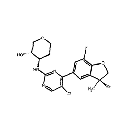 CC[C@]1(C)COc2c(F)cc(-c3nc(N[C@@H]4CCOC[C@H]4O)ncc3Cl)cc21